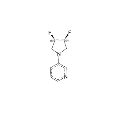 F[C@@H]1CN(c2cccnc2)C[C@@H]1F